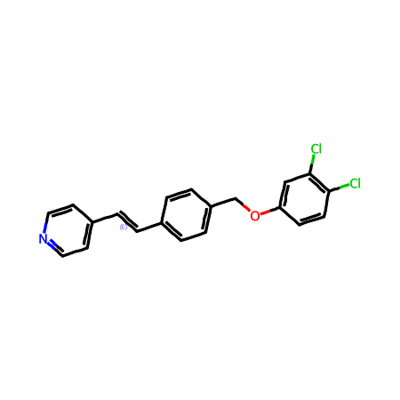 Clc1ccc(OCc2ccc(/C=C/c3ccncc3)cc2)cc1Cl